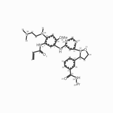 C=CC(=O)Nc1cc(Nc2cc(N3OCCC3c3cccc(C(=O)NC(C)C)c3)ncn2)c(OC)cc1N(C)CCN(C)C